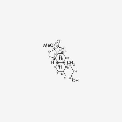 COC1(CCl)CC[C@H]2[C@@H]3CCC4CC(O)CC[C@]4(C)[C@@H]3CC[C@@]21C